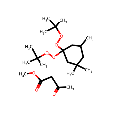 CC1CC(C)(C)CC(OOC(C)(C)C)(OOC(C)(C)C)C1.COC(=O)CC(C)=O